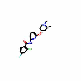 C[C@H]1C[C@@H](Oc2cccc(NC(=O)c3ccc(F)cc3Cl)n2)CCN1C